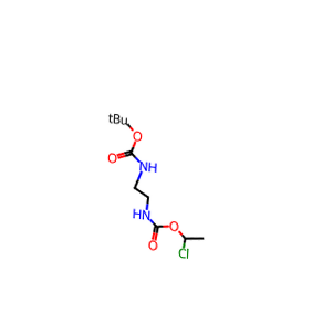 CC(Cl)OC(=O)NCCNC(=O)OC(C)(C)C